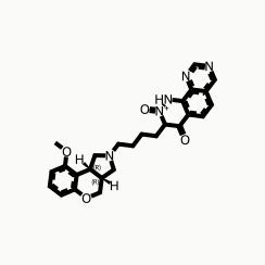 COc1cccc2c1[C@@H]1CN(CCCCC3C(=O)c4ccc5cncnc5c4N[N+]3=O)C[C@@H]1CO2